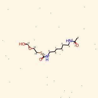 CC(=O)NCCCCCCNC(=O)SCCOCO